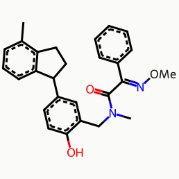 CON=C(C(=O)N(C)Cc1cc(C2CCc3c(C)cccc32)ccc1O)c1ccccc1